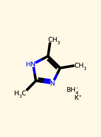 Cc1nc(C)c(C)[nH]1.[BH4-].[K+]